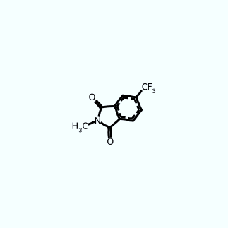 CN1C(=O)c2ccc(C(F)(F)F)cc2C1=O